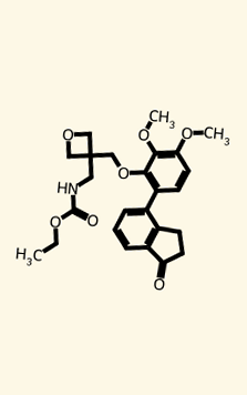 CCOC(=O)NCC1(COc2c(-c3cccc4c3CCC4=O)ccc(OC)c2OC)COC1